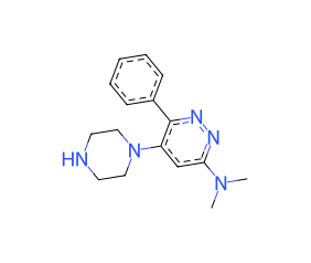 CN(C)c1cc(N2CCNCC2)c(-c2ccccc2)nn1